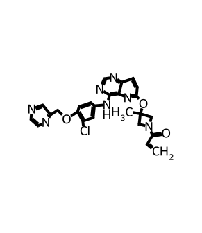 C=CC(=O)N1CC(C)(Oc2ccc3ncnc(Nc4ccc(OCc5cnccn5)c(Cl)c4)c3n2)C1